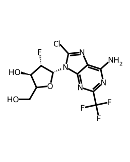 Nc1nc(C(F)(F)F)nc2c1nc(Cl)n2[C@@H]1OC(CO)[C@@H](O)[C@@H]1F